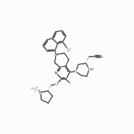 CN1CCC[C@H]1COc1nc2c(c(N3CCN[C@@H](CC#N)C3)c1F)CCN(c1cccc3cccc(Cl)c13)C2